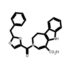 CCOC(=O)C1=CN(C(=O)C2=COC(Cc3ccccc3)O2)CCc2c1[nH]c1ccccc21